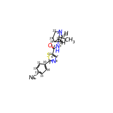 C[C@H]1[C@H](NC(=O)c2cnc(-c3ccc(C#N)cc3)s2)C2CCN1CC2